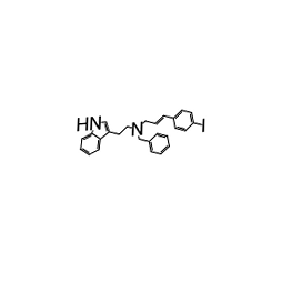 Ic1ccc(C=CCN(CCc2c[nH]c3ccccc23)Cc2ccccc2)cc1